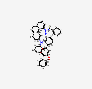 c1ccc(C2Nc3c(ccc4ccc5ccc(N(c6ccccc6)c6ccccc6-c6ccc7c(c6)oc6ccccc67)cc5c34)S2)cc1